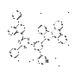 c1ccc(-c2nc(-c3cc(-c4cccnc4)cc(-c4cc5c6ccccc6c6ccccc6c5c5ccccc45)c3)nc(-c3ccc(-c4ccccc4)c4ccccc34)n2)cc1